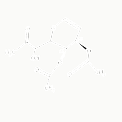 CC(=O)O[C@@H]1C(C(O)C(C)=O)OC=C[C@H]1OC(C)=O